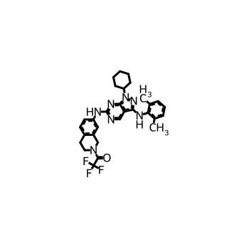 Cc1cccc(C)c1Nc1nn(C2CCCCC2)c2nc(Nc3ccc4c(c3)CN(C(=O)C(F)(F)F)CC4)ncc12